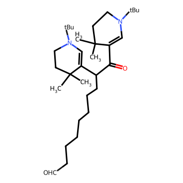 CC1(C)CCN(C(C)(C)C)C=C1C(=O)C(CCCCCCCC=O)C1=CN(C(C)(C)C)CCC1(C)C